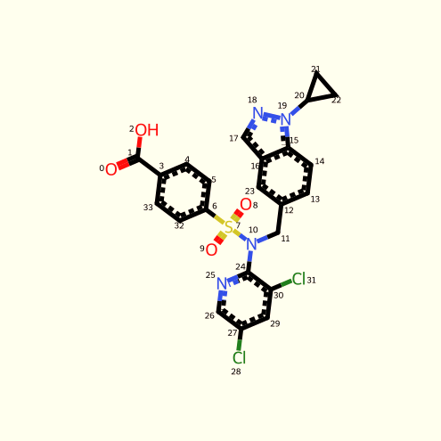 O=C(O)c1ccc(S(=O)(=O)N(Cc2ccc3c(cnn3C3CC3)c2)c2ncc(Cl)cc2Cl)cc1